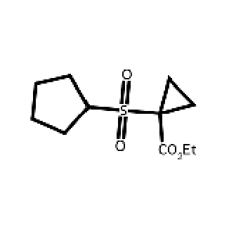 CCOC(=O)C1(S(=O)(=O)C2CCCC2)CC1